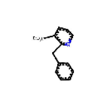 CCOC(=O)c1cccnc1Cc1ccccc1